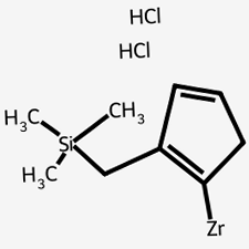 C[Si](C)(C)CC1=[C]([Zr])CC=C1.Cl.Cl